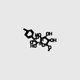 CO[C@H]1O[C@H](C(O)S(=O)(=O)c2ccc(C)cc2)[C@@H](O)[C@H](O)[C@H]1O